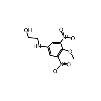 COc1c([N+](=O)[O-])cc(NCCO)cc1[N+](=O)[O-]